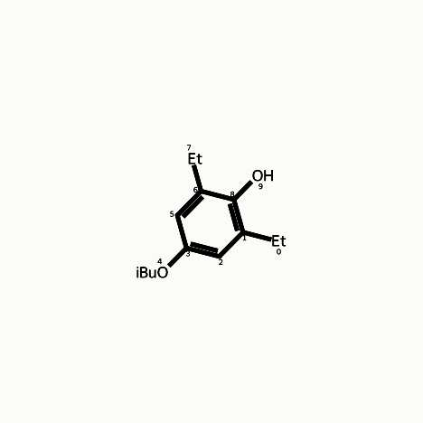 CCc1cc(OCC(C)C)cc(CC)c1O